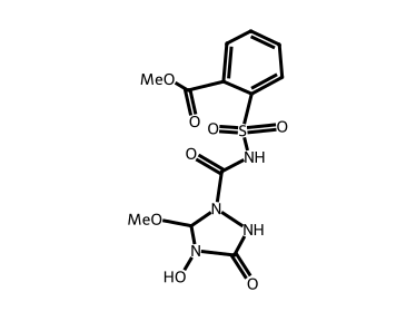 COC(=O)c1ccccc1S(=O)(=O)NC(=O)N1NC(=O)N(O)C1OC